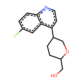 OCC1CCC(c2ccnc3ccc(F)cc23)CO1